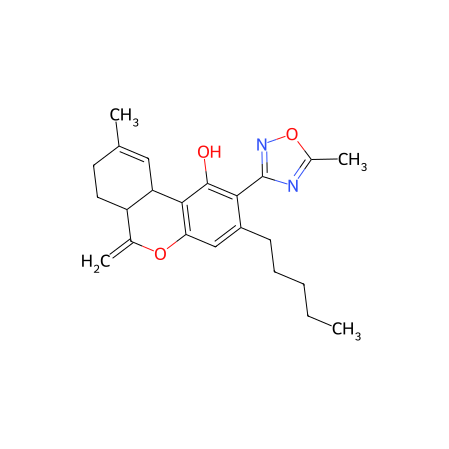 C=C1Oc2cc(CCCCC)c(-c3noc(C)n3)c(O)c2C2C=C(C)CCC12